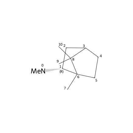 CN[C@@H]1CC2CCC1(C)C2(C)C